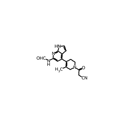 CC1=C(c2cc(NC=O)nc3[nH]ccc23)CCN(C(=O)CC#N)C1